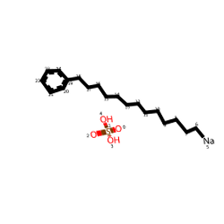 O=S(=O)(O)O.[Na][CH2]CCCCCCCCCCCCc1ccccc1